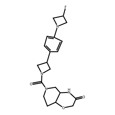 O=C1COC2CCN(C(=O)N3CC(c4ccc(N5CC(F)C5)cc4)C3)CC2N1